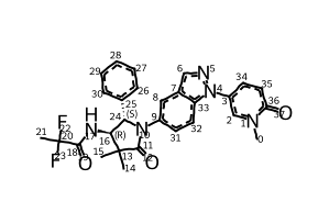 Cn1cc(-n2ncc3cc(N4C(=O)C(C)(C)[C@@H](NC(=O)C(C)(F)F)[C@@H]4c4ccccc4)ccc32)ccc1=O